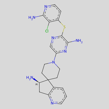 Nc1nc(N2CCC3(CC2)c2cccnc2C[C@H]3N)cnc1Sc1ccnc(N)c1Cl